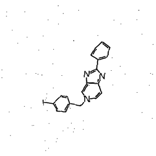 Ic1ccc(Cn2ccc3nc(-c4ccccc4)nc-3c2)cc1